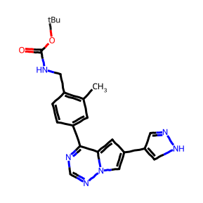 Cc1cc(-c2ncnn3cc(-c4cn[nH]c4)cc23)ccc1CNC(=O)OC(C)(C)C